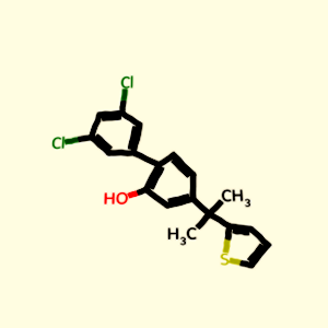 CC(C)(c1ccc(-c2cc(Cl)cc(Cl)c2)c(O)c1)c1cccs1